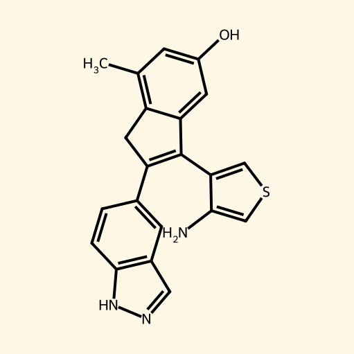 Cc1cc(O)cc2c1CC(c1ccc3[nH]ncc3c1)=C2c1cscc1N